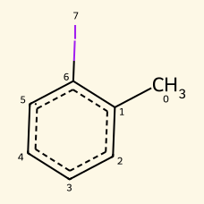 Cc1ccc[c]c1I